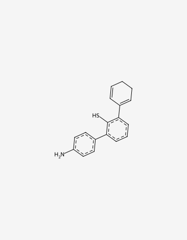 Nc1ccc(-c2cccc(C3=CCCC=C3)c2S)cc1